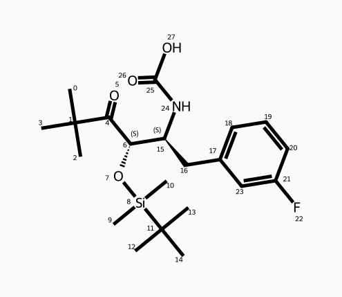 CC(C)(C)C(=O)[C@@H](O[Si](C)(C)C(C)(C)C)[C@H](Cc1cccc(F)c1)NC(=O)O